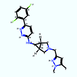 Cc1cc(CN2C[C@@H]3C(Nc4ccc(-c5cc(F)ccc5F)nn4)[C@@H]3C2)nn1C